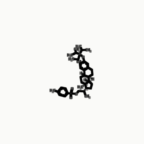 Cc1ccc(S(=O)(=O)OCC(C)[C@H]2CC[C@H]3[C@@H]4CCc5cc(O[Si](C(C)C)(C(C)C)C(C)C)ccc5[C@H]4CC[C@]23C)cc1